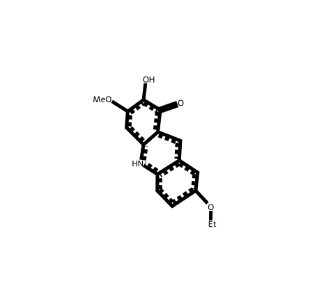 CCOc1ccc2[nH]c3cc(OC)c(O)c(=O)c-3cc2c1